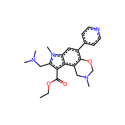 CCOC(=O)c1c(CN(C)C)n(C)c2cc(-c3ccncc3)c3c(c12)CN(C)CO3